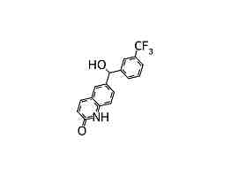 O=c1ccc2cc(C(O)c3cccc(C(F)(F)F)c3)ccc2[nH]1